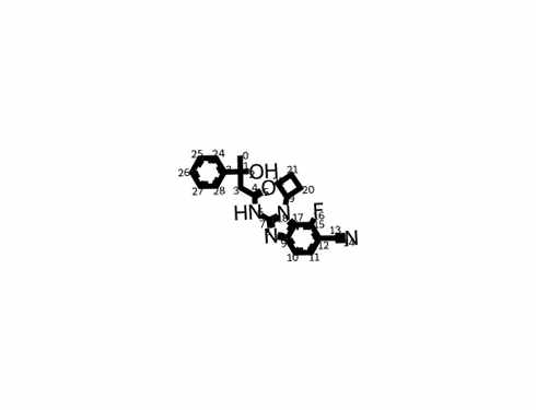 CC(O)(CC(=O)Nc1nc2ccc(C#N)c(F)c2n1C1CCC1)c1ccccc1